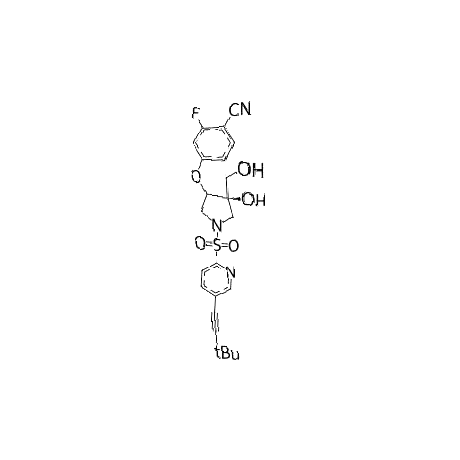 CC(C)(C)C#Cc1ccc(S(=O)(=O)N2CC(Oc3ccc(C#N)c(F)c3)[C@](O)(CO)C2)nc1